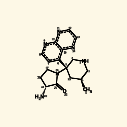 C[C@@H]1CNC[C@@](c2ccnc3nccnc23)(N2CC[C@@H](N)C2=O)C1